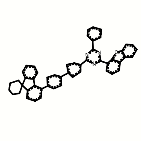 c1ccc(-c2nc(-c3ccc(-c4ccc(-c5cccc6c5-c5ccccc5C65CCCCC5)cc4)cc3)nc(-c3cccc4c3oc3ccccc34)n2)cc1